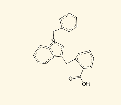 O=C(O)c1ccccc1Cc1cn(Cc2ccccc2)c2ccccc12